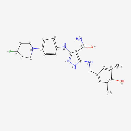 Cc1cc(CNc2[nH]nc(Nc3ccc(N4CCC(F)CC4)cc3)c2C(N)=O)cc(C)c1O